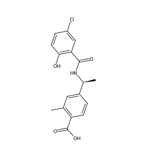 Cc1cc([C@H](C)NC(=O)c2cc(Cl)ccc2O)ccc1C(=O)O